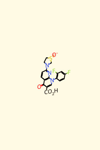 O=C(O)c1cn(-c2ccc(F)cc2F)c2nc(N3CC[S+]([O-])C3)ccc2c1=O